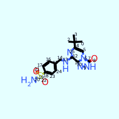 CC(C)(C)c1cn2c(=O)[nH]nc2c(NCc2ccc(S(N)(=O)=O)cc2)n1